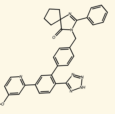 COc1ccnc(-c2ccc(-c3nn[nH]n3)c(-c3ccc(CN4C(=O)C5(CCCC5)N=C4c4ccccc4)cc3)c2)c1